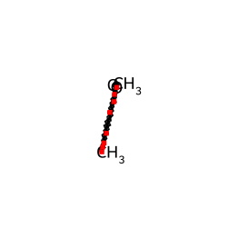 CCCCCCCCCCCCCCCCCCCCCCCCCCCCOC(C)=O